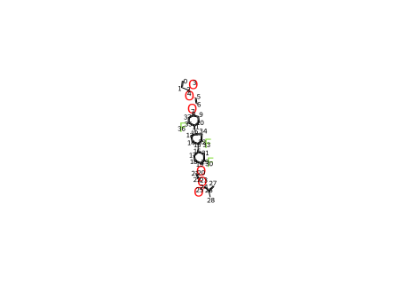 C=CC(=O)O/C=C\Oc1ccc(-c2ccc(-c3ccc(O/C=C\OC(=O)C(=C)C)c(F)c3)c(F)c2)c(F)c1